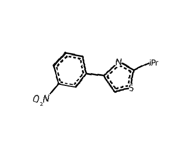 CC(C)c1nc(-c2cccc([N+](=O)[O-])c2)cs1